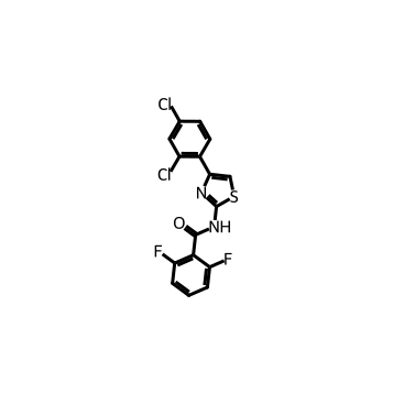 O=C(Nc1nc(-c2ccc(Cl)cc2Cl)cs1)c1c(F)cccc1F